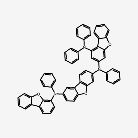 c1ccc(N(c2ccc3c(c2)oc2ccc(N(c4ccccc4)c4cccc5c4oc4ccccc45)cc23)c2cc(N(c3ccccc3)c3ccccc3)c3c(c2)oc2ccccc23)cc1